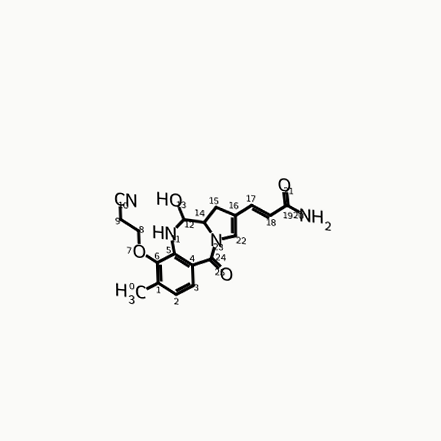 Cc1ccc2c(c1OCCC#N)NC(O)C1CC(C=CC(N)=O)=CN1C2=O